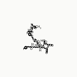 CC1(F)C[C@H](C#N)N(C(=O)CNC(=O)c2ccnc3ccc(OCCCN4CCN(C(=O)CC(=O)NC(=O)[C@H](CCCCCNC(=O)CCCc5ccc(I)cc5)NC(=O)CN5CCN(COC=O)CCN(COC=O)CCN(CC(=O)O)CC5)CC4)cc23)C1